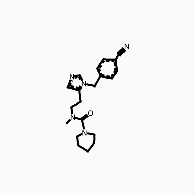 CN(CCc1cncn1Cc1ccc(C#N)cc1)C(=O)N1CCCCC1